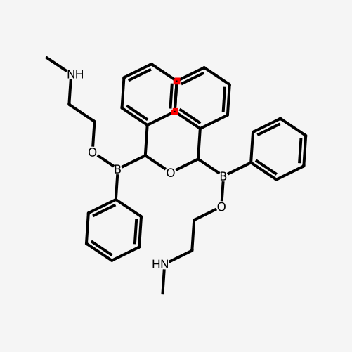 CNCCOB(c1ccccc1)C(OC(B(OCCNC)c1ccccc1)c1ccccc1)c1ccccc1